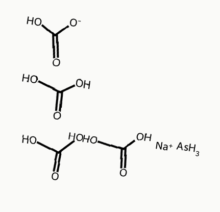 O=C(O)O.O=C(O)O.O=C(O)O.O=C([O-])O.[AsH3].[Na+]